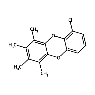 Cc1c(C)c(C)c2c(c1C)Oc1cccc(Cl)c1O2